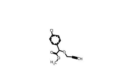 C#CCOC(C(=O)OC)c1ccc(Cl)cc1